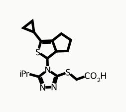 CC(C)c1nnc(SCC(=O)O)n1C1SC(C2CC2)=C2CCCC21